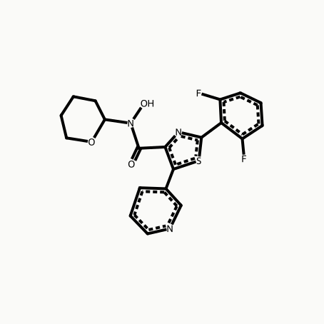 O=C(c1nc(-c2c(F)cccc2F)sc1-c1cccnc1)N(O)C1CCCCO1